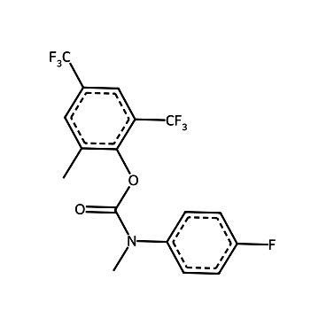 Cc1cc(C(F)(F)F)cc(C(F)(F)F)c1OC(=O)N(C)c1ccc(F)cc1